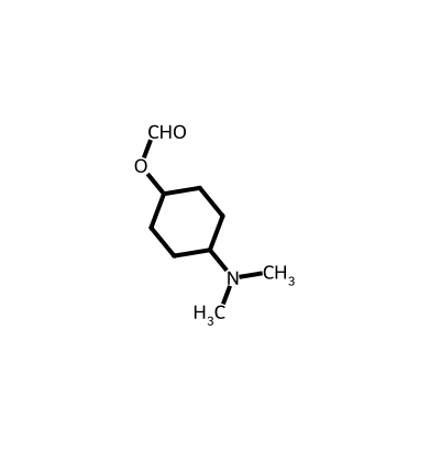 CN(C)C1CCC(OC=O)CC1